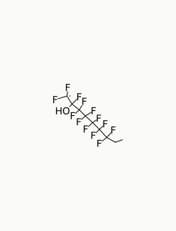 CCC(F)(F)C(F)(F)C(F)(F)C(F)(F)C(F)(F)C(O)(F)[C](F)F